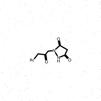 CC(=O)CC(=O)CN1NC(=O)CC1=O